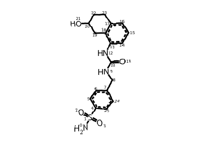 NS(=O)(=O)c1ccc(CNC(=O)Nc2cccc3c2CC(O)CC3)cc1